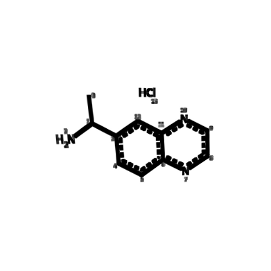 CC(N)c1ccc2nccnc2c1.Cl